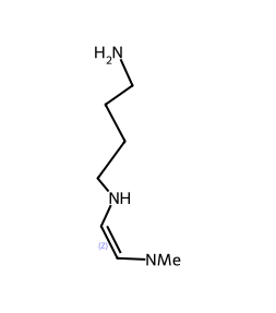 CN/C=C\NCCCCN